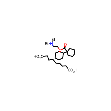 CCN(CC)CCOC(=O)C1(C2CCCCC2)CCCCC1.O=C(O)CCCCCCCC(=O)O